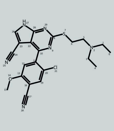 CCN(CC)CCSc1nc(-c2cc(OC)c(C#N)cc2Cl)c2c(C#N)c[nH]c2n1